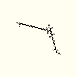 CCNC(=O)COCCOCCNC(=O)CCC(NC(=O)CCCCCCCCCCCCCCCCC(=O)O)C(=O)O